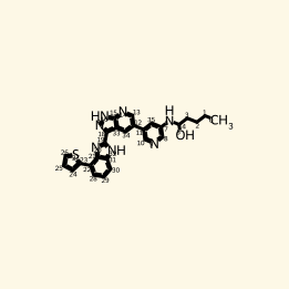 CCCCC(O)Nc1cncc(-c2cnc3[nH]nc(-c4nc5c(-c6cccs6)cccc5[nH]4)c3c2)c1